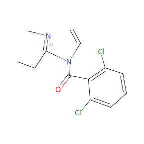 C=CN(C(=O)c1c(Cl)cccc1Cl)/C(CC)=N/C